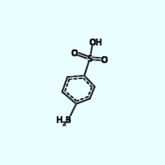 Bc1ccc(S(=O)(=O)O)cc1